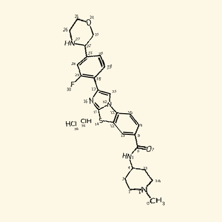 CN1CCC(NC(=O)c2ccc3c(c2)sc2nc(-c4ccc(C5COCCN5)cc4F)cn23)CC1.Cl.Cl